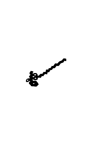 CCCCCCCCCCCCCCCCCC(=O)OC(CCCC)C(=O)c1ccccc1